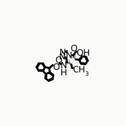 CCC[C@H](NC(=O)OCC1c2ccccc2-c2ccccc21)c1nncn1[C@@H](Cc1ccccc1)C(=O)O